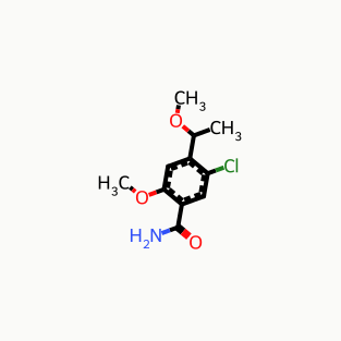 COc1cc(C(C)OC)c(Cl)cc1C(N)=O